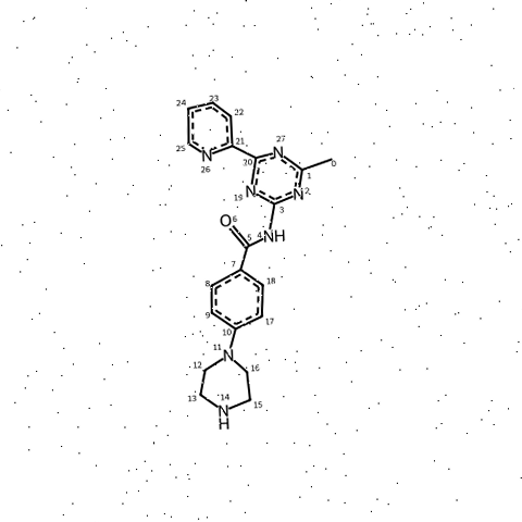 Cc1nc(NC(=O)c2ccc(N3CCNCC3)cc2)nc(-c2ccccn2)n1